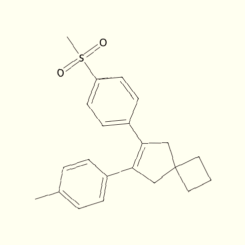 Cc1ccc(C2=C(c3ccc(S(C)(=O)=O)cc3)CC3(CCC3)C2)cc1